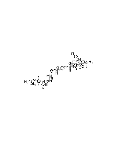 COc1ccc(C2=N[C@@H](c3ccc(Cl)cc3)[C@@H](c3ccc(Cl)cc3)N2C(=O)N2CCN(CC(=O)NCCCN3CCN(CC(=O)NCc4cccc(CNc5cc(N6CCC7(CC6)CN(c6cc(F)c(CN8CCC(C)(C)CC8)cc6F)CC(=O)N7)ncn5)c4)CC3)C(=O)C2)c(OC(C)C)c1